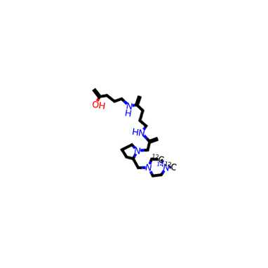 C=C(O)CCCNC(=C)CCCNC(=C)CN1CCCC1CN1CC[14N]([12CH3])[12CH2]C1